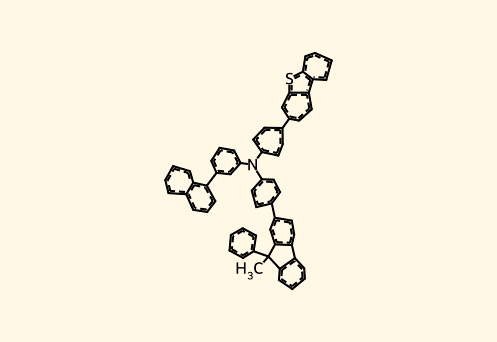 CC1(c2ccccc2)c2ccccc2-c2ccc(-c3ccc(N(c4ccc(-c5ccc6c(c5)sc5ccccc56)cc4)c4cccc(-c5cccc6ccccc56)c4)cc3)cc21